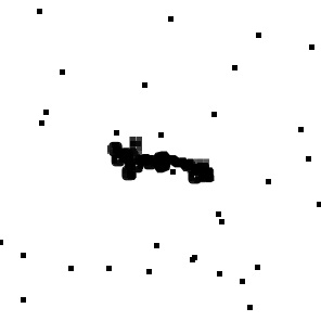 COC(=O)CC(CC(=O)OC)NCCOc1ccc(CCCCNC(=O)OC(C)(C)C)cc1